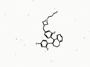 FCCCN1CC(Cc2ccc(C3=C(c4ccc(F)cc4F)CCCc4ccccc43)c(F)c2)C1